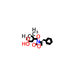 CC(C)C(CC(=O)O)C(=O)N1C(=O)OC[C@H]1Cc1ccccc1